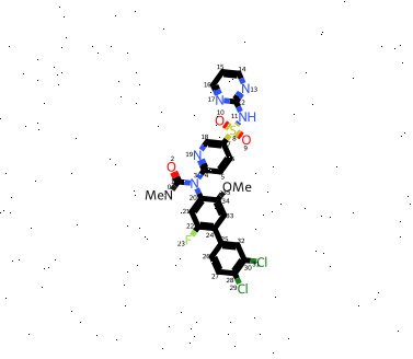 CNC(=O)N(c1ccc(S(=O)(=O)Nc2ncccn2)cn1)c1cc(F)c(-c2ccc(Cl)c(Cl)c2)cc1OC